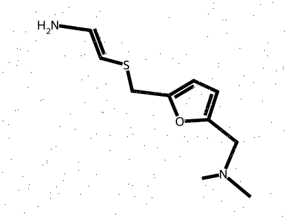 CN(C)Cc1ccc(CSC=CN)o1